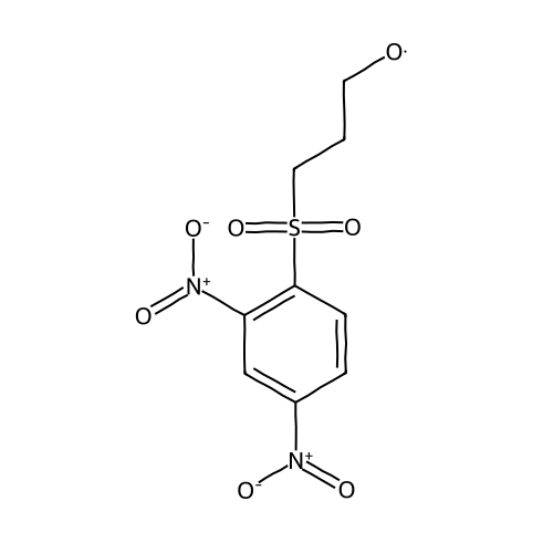 [O]CCCS(=O)(=O)c1ccc([N+](=O)[O-])cc1[N+](=O)[O-]